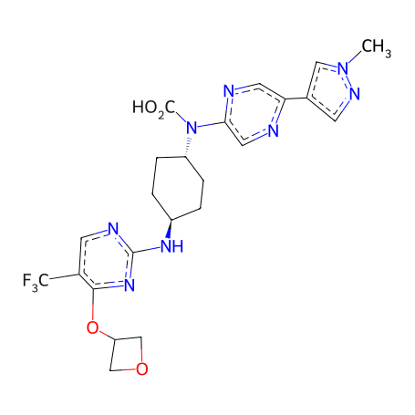 Cn1cc(-c2cnc(N(C(=O)O)[C@H]3CC[C@H](Nc4ncc(C(F)(F)F)c(OC5COC5)n4)CC3)cn2)cn1